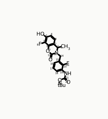 CC1c2ccc(O)c(F)c2OC(=O)N1Cc1cccc(NC(=O)OC(C)(C)C)c1F